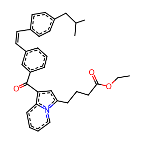 CCOC(=O)CCCc1cc(C(=O)c2cccc(/C=C\c3ccc(CC(C)C)cc3)c2)c2ccccn12